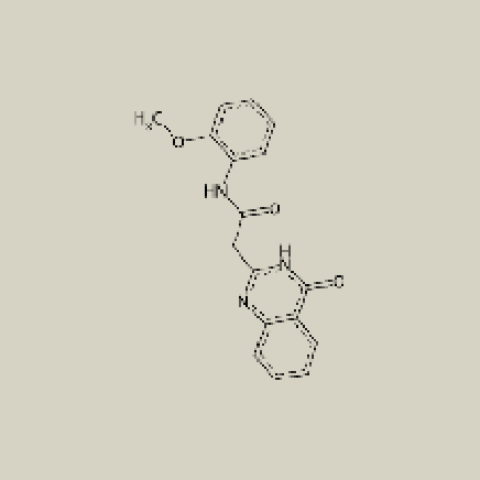 COc1ccccc1NC(=O)Cc1nc2ccccc2c(=O)[nH]1